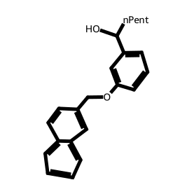 CCCCCC(O)c1cccc(OCc2ccc3ccccc3c2)c1